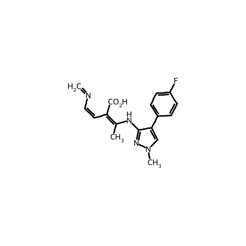 C=N/C=C\C(C(=O)O)=C(/C)Nc1nn(C)cc1-c1ccc(F)cc1